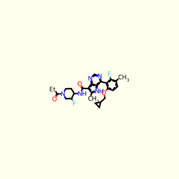 CCC(=O)N1CCC(NC(=O)c2c(C)[nH]c3c(-c4c(OCC5CC5)ccc(C)c4F)ncnc23)C(F)C1